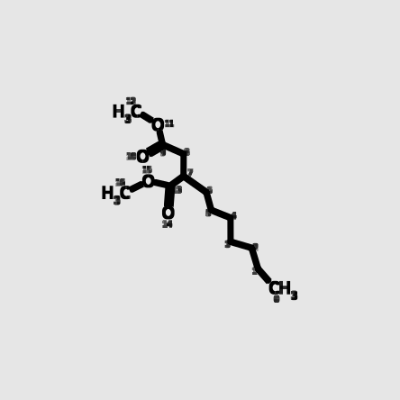 CCCCCCCC(CC(=O)OC)C(=O)OC